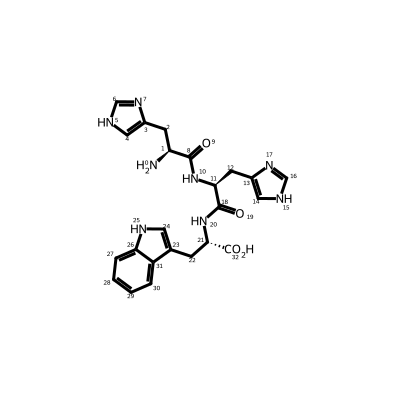 N[C@@H](Cc1c[nH]cn1)C(=O)N[C@@H](Cc1c[nH]cn1)C(=O)N[C@@H](Cc1c[nH]c2ccccc12)C(=O)O